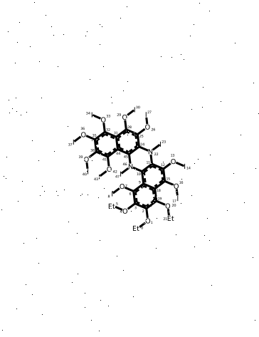 CCOc1c(OCC)c(OI)c2c3c(c(OI)c(OI)c2c1OCC)N(I)c1c(OI)c(OI)c2c(OI)c(OI)c(OI)c(OI)c2c1N3I